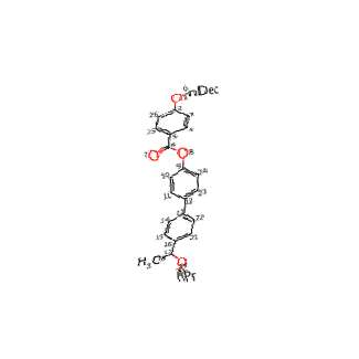 CCCCCCCCCCOc1ccc(C(=O)Oc2ccc(-c3ccc(C(C)OCCC)cc3)cc2)cc1